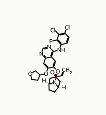 C=CC(=O)N1[C@@H]2CC[C@H]1CC(Oc1cc3c(Nc4ccc(Cl)c(Cl)c4F)ncnc3cc1O[C@H]1CCOC1)C2